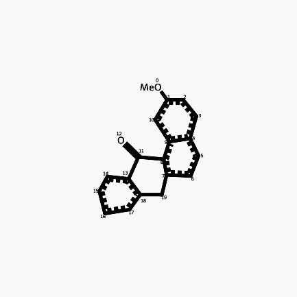 COc1ccc2ccc3c(c2c1)C(=O)c1ccccc1C3